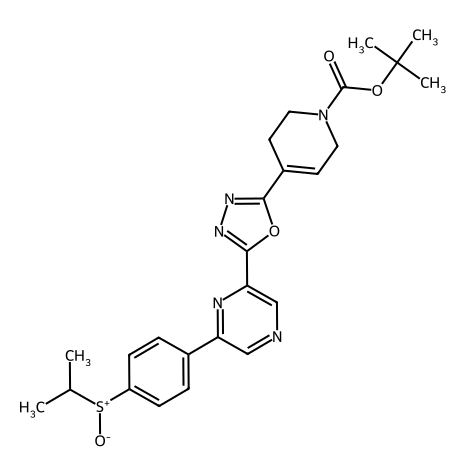 CC(C)[S+]([O-])c1ccc(-c2cncc(-c3nnc(C4=CCN(C(=O)OC(C)(C)C)CC4)o3)n2)cc1